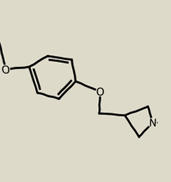 COc1ccc(OCC2C[N]C2)cc1